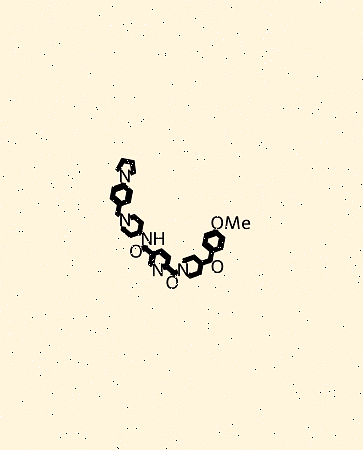 COc1ccc(C(=O)C2CCN(C(=O)c3ccc(C(=O)NC4CCN(Cc5ccc(N6CCCC6)cc5)CC4)cn3)CC2)cc1